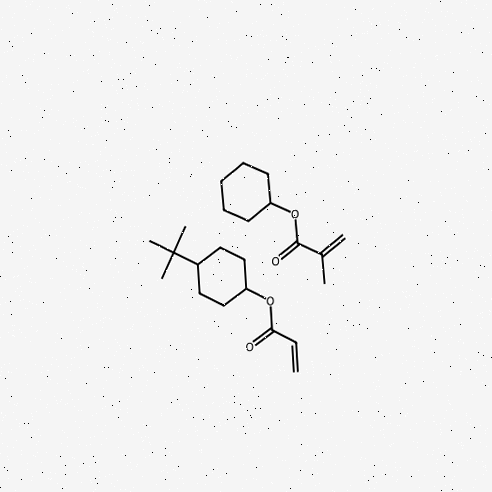 C=C(C)C(=O)OC1CCCCC1.C=CC(=O)OC1CCC(C(C)(C)C)CC1